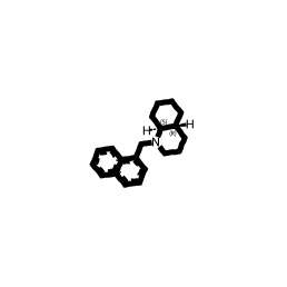 c1ccc2c(CN3CCC[C@H]4CCCC[C@@H]43)cccc2c1